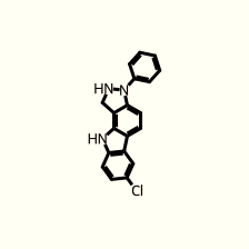 Clc1ccc2[nH]c3c4c(ccc3c2c1)N(c1ccccc1)NC4